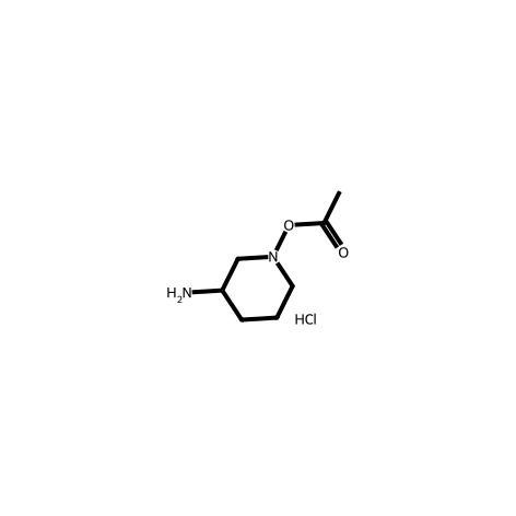 CC(=O)ON1CCCC(N)C1.Cl